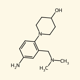 CN(C)Cc1cc(N)ccc1N1CCC(O)CC1